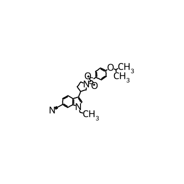 CCn1cc(C2CCN(S(=O)(=O)c3ccc(OC(C)C)cc3)C2)c2ccc(C#N)cc21